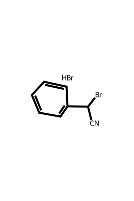 Br.N#CC(Br)c1ccccc1